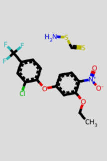 CCOc1cc(Oc2ccc(C(F)(F)F)cc2Cl)ccc1[N+](=O)[O-].NSC=S